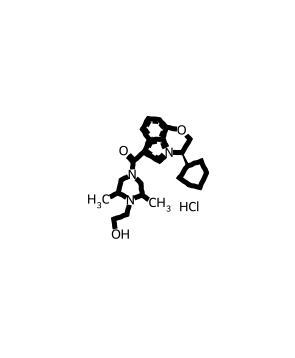 CC1CN(C(=O)c2cn3c4c(cccc24)OC[C@H]3C2CCCCC2)CC(C)N1CCO.Cl